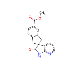 COC(=O)c1ccc2c(c1)C[C@@]1(C2)C(=O)Nc2ncccc21